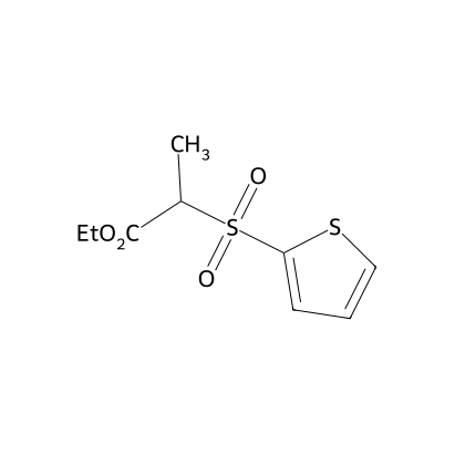 CCOC(=O)C(C)S(=O)(=O)c1cccs1